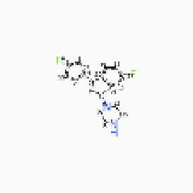 Fc1ccc(C2CC(N3CCNCC3)c3cc(F)ccc32)cc1